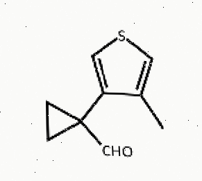 Cc1cscc1C1(C=O)CC1